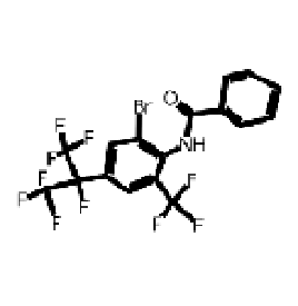 O=C(Nc1c(Br)cc(C(F)(C(F)(F)F)C(F)(F)F)cc1C(F)(F)F)c1ccccc1